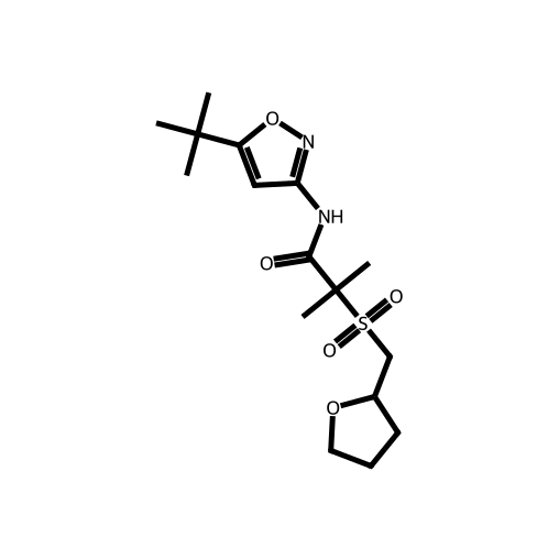 CC(C)(C)c1cc(NC(=O)C(C)(C)S(=O)(=O)CC2CCCO2)no1